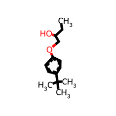 CCC(O)COc1ccc(C(C)(C)C)cc1